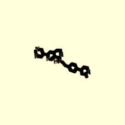 Cc1cc(-c2ccc(CCNc3nccc4cc(-c5cncnc5)ncc34)cc2)ccn1